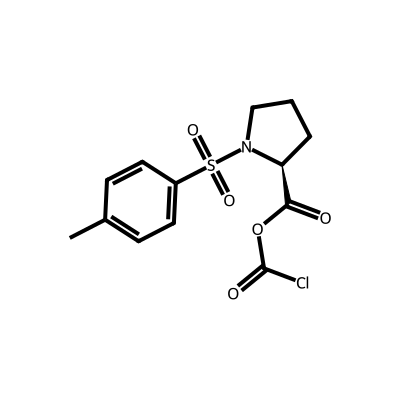 Cc1ccc(S(=O)(=O)N2CCC[C@H]2C(=O)OC(=O)Cl)cc1